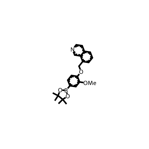 COc1cc(B2OC(C)(C)C(C)(C)O2)ccc1OCc1cccc2ccncc12